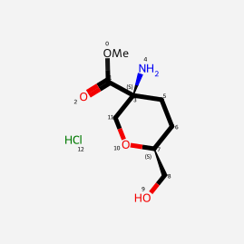 COC(=O)[C@]1(N)CC[C@@H](CO)OC1.Cl